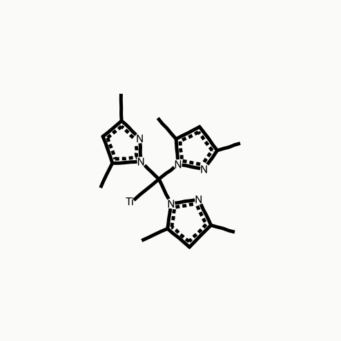 Cc1cc(C)n([C]([Ti])(n2nc(C)cc2C)n2nc(C)cc2C)n1